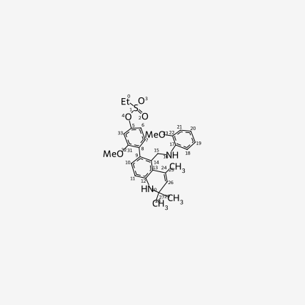 CCS(=O)(=O)Oc1ccc(-c2ccc3c(c2CNc2ccccc2OC)C(C)=CC(C)(C)N3)c(OC)c1